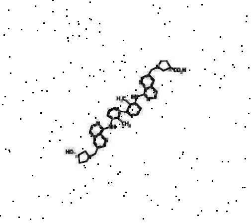 Cc1c(Nc2nccc3cc(CN4CC[C@H](O)C4)cnc23)cccc1-c1cccc(Nc2nccc3cc(CN4CC[C@@H](C(=O)O)C4)cnc23)c1C